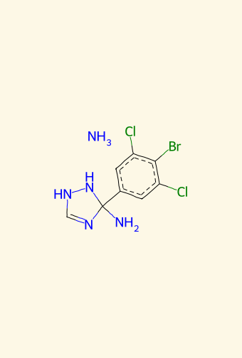 N.NC1(c2cc(Cl)c(Br)c(Cl)c2)N=CNN1